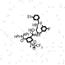 CCCN(CCC)C(=O)c1cc(C(=O)NC(Cc2cc(F)cc(F)c2)[C@H](O)CNCc2cccc(CC)c2)cc(N(C)S(=O)(=O)C(F)(F)F)c1